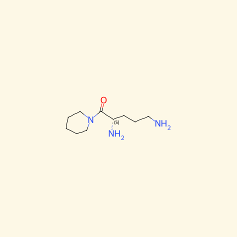 NCCC[C@H](N)C(=O)N1CCCCC1